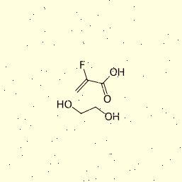 C=C(F)C(=O)O.OCCO